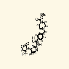 CC(C)[C@H]1COC(=O)N1c1nc(N[C@@H](C)c2ccc(CN3CCN(C(=O)OC(C)(C)C)CC3)cc2)ncc1F